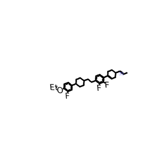 C/C=C/C1CC=C(c2ccc(CCC3CCC(c4ccc(OCC)c(F)c4)CC3)c(F)c2F)CC1